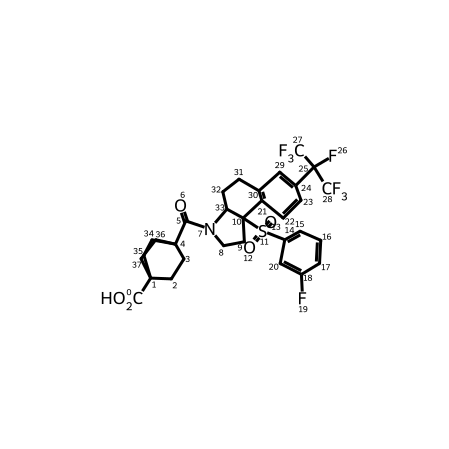 O=C(O)C12CCC(C(=O)N3CCC4(S(=O)(=O)c5cccc(F)c5)c5ccc(C(F)(C(F)(F)F)C(F)(F)F)cc5CCC34)(CC1)CC2